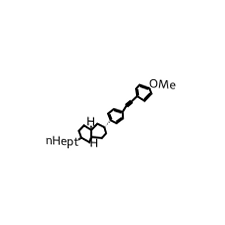 CCCCCCCC1CC[C@@H]2C[C@H](c3ccc(C#Cc4ccc(OC)cc4)cc3)CC[C@@H]2C1